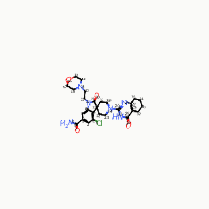 NC(=O)c1cc(Cl)c2c(c1)N(CCN1CCOCC1)C(=O)C21CCN(c2nc3c(c(=O)[nH]2)CCCC3)CC1